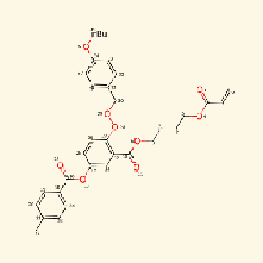 C=CC(=O)OCCCCOC(=O)c1cc(OC(=O)c2ccc(C)cc2)ccc1OOCc1ccc(OCCCC)cc1